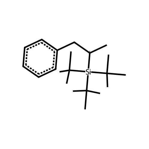 C[C](Cc1ccccc1)[Si](C(C)(C)C)(C(C)(C)C)C(C)(C)C